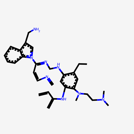 C=CC(=C)Nc1cc(NC/N=C(\C=C/N=C)n2cc(CN)c3ccccc32)c(CC)cc1N(C)CCN(C)C